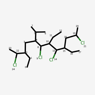 CCC(CC(C(C)C)C(Cl)C(CC)C(Cl)C(CC)CC(C)Cl)C(C)Cl